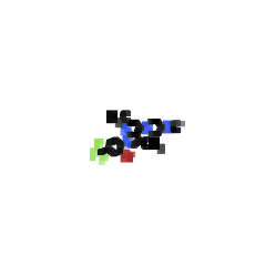 [C-]#[N+]C1CCN(c2cc(C)nc3c2c(C)cn3-c2ccc(C(F)(F)F)cc2Br)CC1